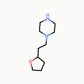 [CH](CN1CCNCC1)C1CCCO1